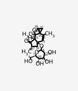 CC1=CC2(OC3O[C@H](CO)[C@@H](O)[C@H](O)[C@H]3O)C[C@@H](C)C(=O)[C@@H]2[C@](C)(O)C12CC2